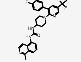 Cc1nccc2c(NC(=O)NC3CCN(c4ncc(C(C)(F)F)cc4-c4ccc(F)cc4)CC3)cccc12